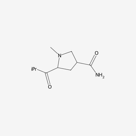 CC(C)C(=O)C1CC(C(N)=O)CN1C